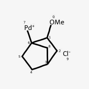 COC1CC2CC[C]1([Pd+])C2.[Cl-]